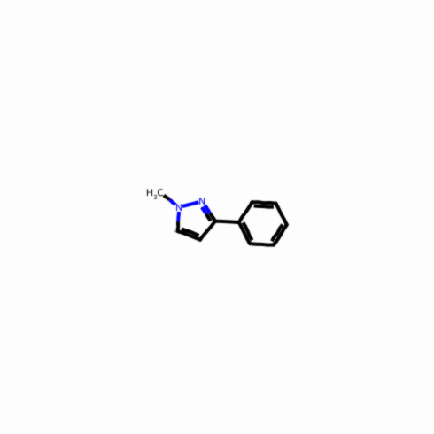 Cn1[c]cc(-c2ccccc2)n1